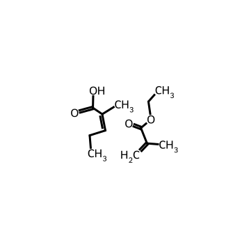 C=C(C)C(=O)OCC.CCC=C(C)C(=O)O